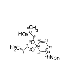 C=CCOC1(OCC(C)O)C=CC=C(CCCCCCCCC)C1